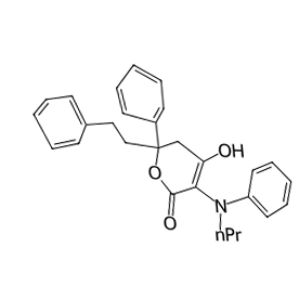 CCCN(C1=C(O)CC(CCc2ccccc2)(c2ccccc2)OC1=O)c1ccccc1